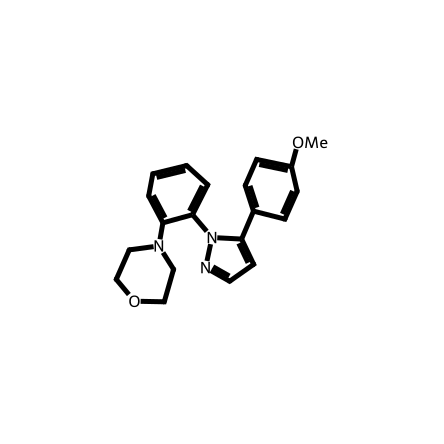 COc1ccc(-c2ccnn2-c2ccccc2N2CCOCC2)cc1